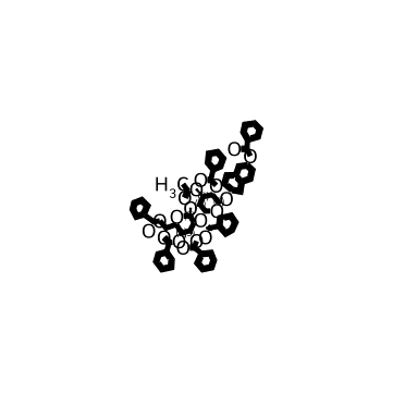 CC(=O)O[C@H]1C(OC(=O)c2ccccc2)[C@H](Oc2ccc3cc(OC(=O)c4ccccc4)ccc3c2)OC[C@H]1O[C@@H]1OC(COC(=O)c2ccccc2)[C@H](OC(=O)c2ccccc2)[C@H](OC(=O)c2ccccc2)C1OC(=O)c1ccccc1